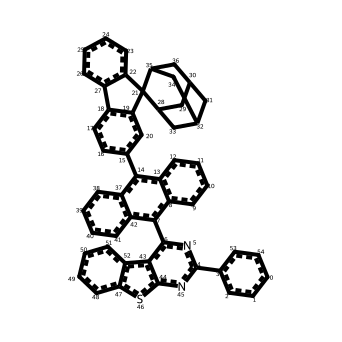 c1ccc(-c2nc(-c3c4ccccc4c(-c4ccc5c(c4)C4(c6ccccc6-5)C5CC6CC(C5)CC4C6)c4ccccc34)c3c(n2)sc2ccccc23)cc1